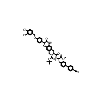 COC(=O)[C@H](Cc1ccc(-c2ccc(C#N)cc2)cc1)NC(=O)C1Cc2cc3c(cc2CN1C(=O)OC(C)(C)C)OC(c1ccc(OCc2ccc(Cl)c(Cl)c2)cc1)C(=O)N3